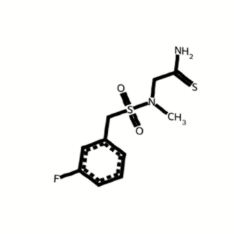 CN(CC(N)=S)S(=O)(=O)Cc1cccc(F)c1